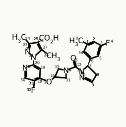 Cc1cc(F)cc([C@H]2CC=NN2C(=O)N2CC(Oc3cc(-n4nc(C)c(C(=O)O)c4C)ncc3F)C2)c1